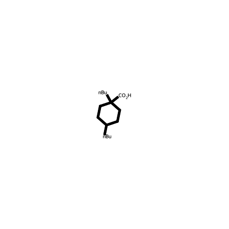 CCCCC1CCC(CCCC)(C(=O)O)CC1